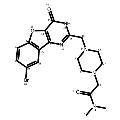 CN(C)C(=O)CN1CCN(Cc2nc3c(oc4ccc(Br)cc43)c(=O)[nH]2)CC1